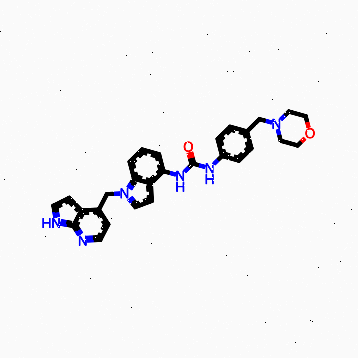 O=C(Nc1ccc(CN2CCOCC2)cc1)Nc1cccc2c1ccn2Cc1ccnc2[nH]ccc12